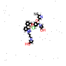 N#Cc1cncc(COc2cc(OCc3cccc(-c4cccc5c4cnn5CCCCN4CCC(O)C4)c3Br)c(Cl)cc2CN2CCC(O)C2)c1